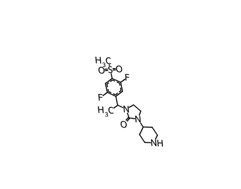 CC(c1cc(F)c(S(C)(=O)=O)cc1F)N1CCN(C2CCNCC2)C1=O